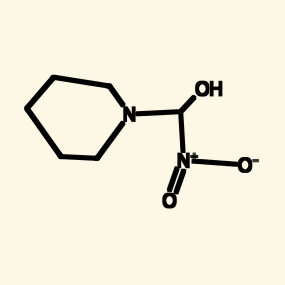 O=[N+]([O-])C(O)N1CCCCC1